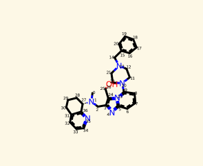 CN(Cc1nc2cccc(N3CCN(Cc4ccccc4)CC3)n2c1CO)[C@H]1CCCc2cccnc21